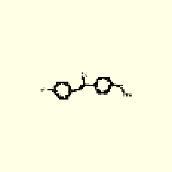 CCCCOc1ccc(C(C#N)=Cc2ccc(CCC)cc2)cc1